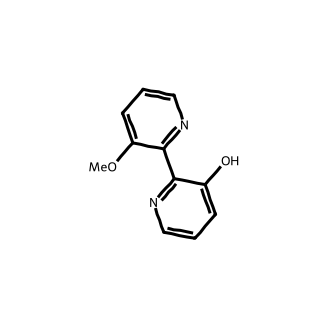 COc1cccnc1-c1ncccc1O